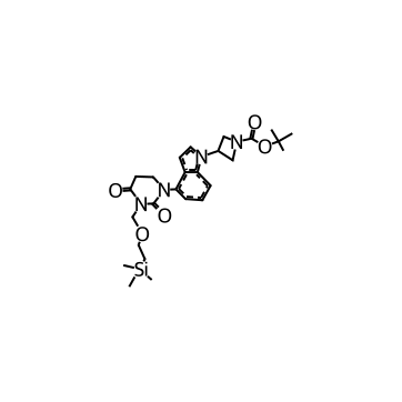 CC(C)(C)OC(=O)N1CC(n2ccc3c(N4CCC(=O)N(COCC[Si](C)(C)C)C4=O)cccc32)C1